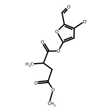 COC(=O)CC(C)C(=O)Oc1cc(Cl)c(C=O)o1